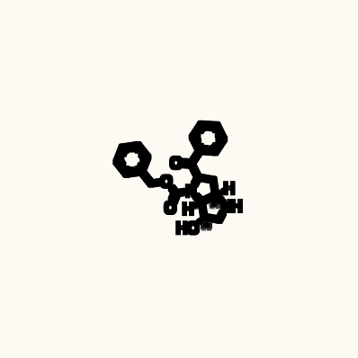 O=C(c1ccccc1)C1C[C@H]2NC[C@H](O)[C@H]2N1C(=O)OCc1ccccc1